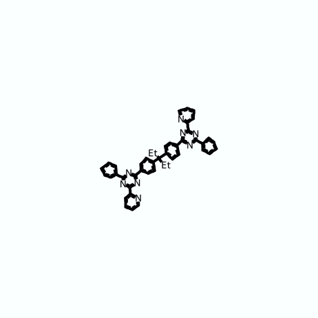 CCC(CC)(c1ccc(-c2nc(-c3ccccc3)nc(-c3ccccn3)n2)cc1)c1ccc(-c2nc(-c3ccccc3)nc(-c3ccccn3)n2)cc1